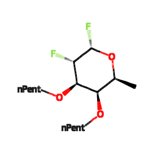 CCCCCO[C@H]1[C@H](F)[C@H](F)O[C@@H](C)[C@H]1OCCCCC